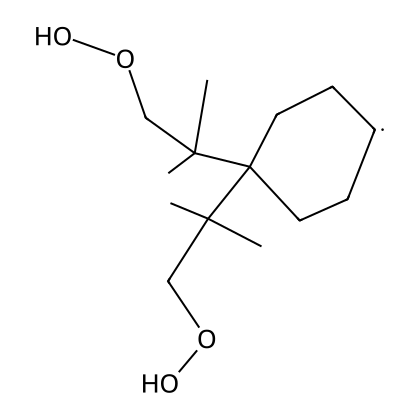 CC(C)(COO)C1(C(C)(C)COO)CC[CH]CC1